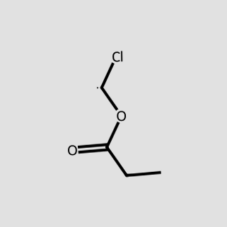 CCC(=O)O[CH]Cl